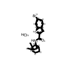 CC1(C)C(NC(=O)c2cc3ccc(Br)cc3s2)C2CCN1CC2.Cl